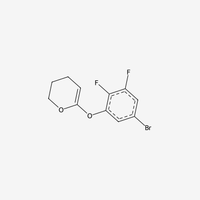 Fc1cc(Br)cc(OC2=CCCCO2)c1F